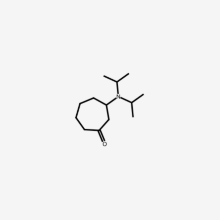 CC(C)N(C(C)C)C1CCCCC(=O)C1